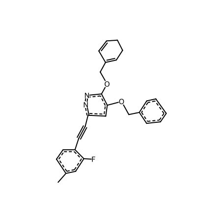 Cc1ccc(C#Cc2cc(OCc3ccccc3)c(OCC3=CCCC=C3)nn2)c(F)c1